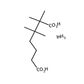 CC(C)(CCCC(=O)O)C(C)(C)C(=O)O.[InH3]